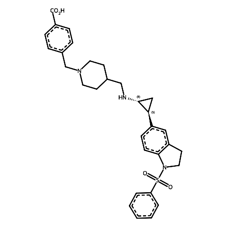 O=C(O)c1ccc(CN2CCC(CN[C@@H]3C[C@H]3c3ccc4c(c3)CCN4S(=O)(=O)c3ccccc3)CC2)cc1